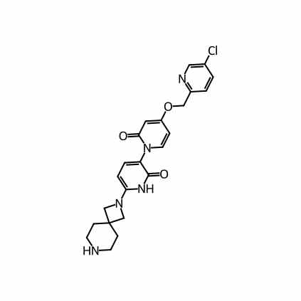 O=c1[nH]c(N2CC3(CCNCC3)C2)ccc1-n1ccc(OCc2ccc(Cl)cn2)cc1=O